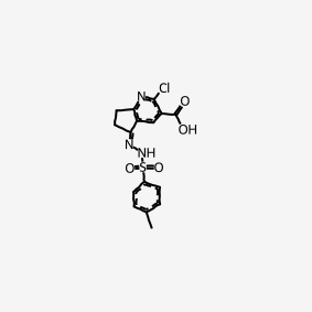 Cc1ccc(S(=O)(=O)N/N=C2/CCc3nc(Cl)c(C(=O)O)cc32)cc1